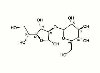 OC[C@@H](O)[C@@H]1OC(O)[C@H](OC2O[C@H](CO)[C@@H](O)[C@H](O)[C@H]2O)[C@H]1O